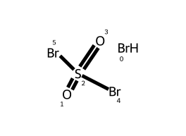 Br.O=S(=O)(Br)Br